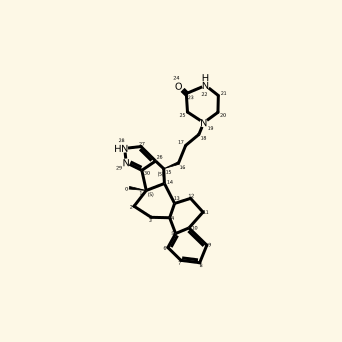 C[C@]12CCC3c4ccccc4CCC3C1[C@H](CCCN1CCNC(=O)C1)c1c[nH]nc12